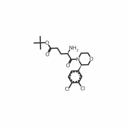 CC(C)(C)OC(=O)CC[C@@H](N)C(=O)N1CCOC[C@H]1c1ccc(Cl)c(Cl)c1